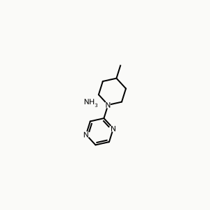 CC1CCN(c2cnccn2)CC1.N